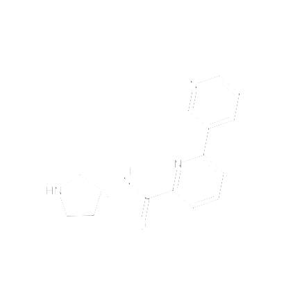 O=C(N[C@@H]1CCNC1)c1cccc(-c2cccnc2)n1